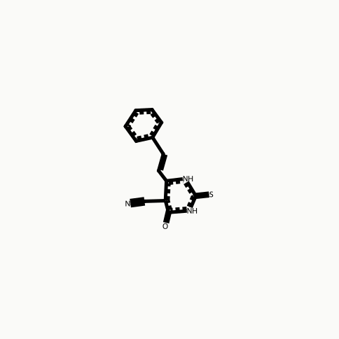 N#Cc1c(/C=C/c2ccccc2)[nH]c(=S)[nH]c1=O